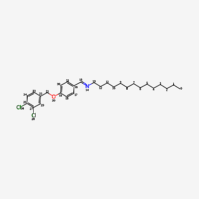 CCCCCCCCCCCCCCN=Cc1ccc(OCc2ccc(Cl)c(Cl)c2)cc1